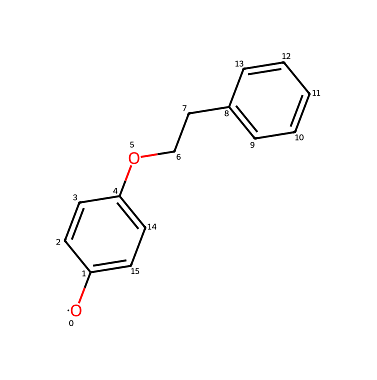 [O]c1ccc(OCCc2ccccc2)cc1